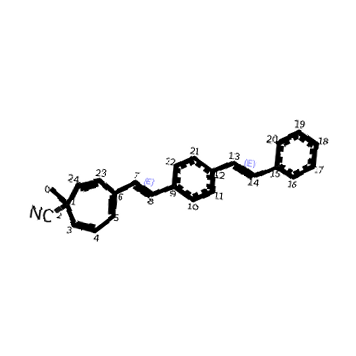 CC1(C#N)C=CC=C(/C=C/c2ccc(/C=C/c3ccccc3)cc2)C=C1